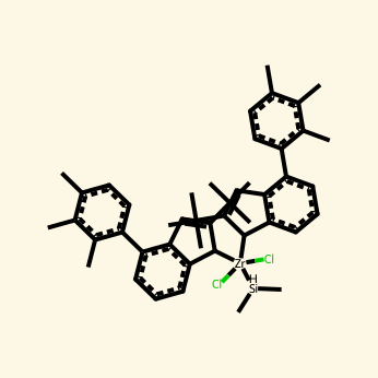 Cc1ccc(-c2cccc3c2C=C(C(C)(C)C)[CH]3[Zr]([Cl])([Cl])([CH]2C(C(C)(C)C)=Cc3c(-c4ccc(C)c(C)c4C)cccc32)[SiH](C)C)c(C)c1C